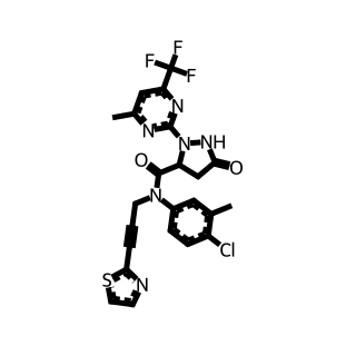 Cc1cc(C(F)(F)F)nc(N2NC(=O)CC2C(=O)N(CC#Cc2nccs2)c2ccc(Cl)c(C)c2)n1